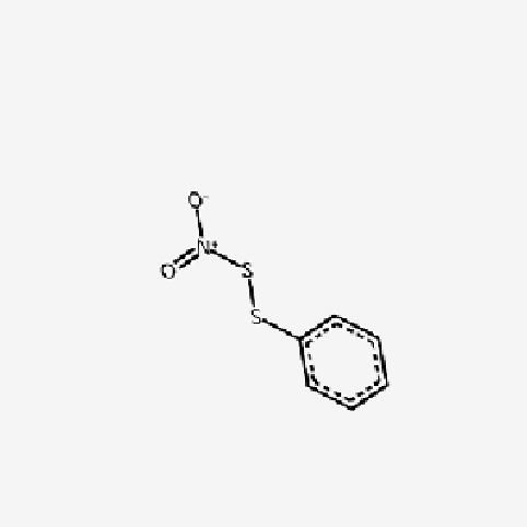 O=[N+]([O-])SSc1ccccc1